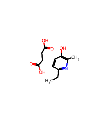 CCc1ccc(O)c(C)n1.O=C(O)CCC(=O)O